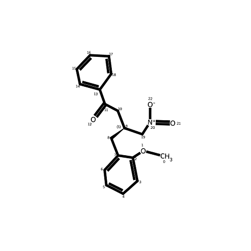 COc1ccccc1C[C@@H](CC(=O)c1ccccc1)C[N+](=O)[O-]